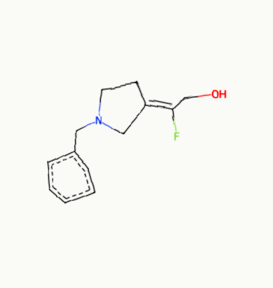 OC/C(F)=C1\CCN(Cc2ccccc2)C1